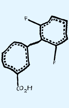 O=C(O)c1cccc(-c2c(F)cccc2F)c1